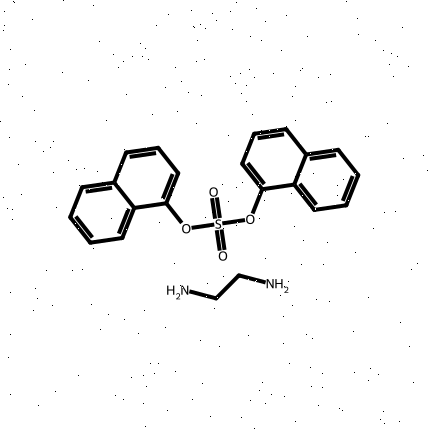 NCCN.O=S(=O)(Oc1cccc2ccccc12)Oc1cccc2ccccc12